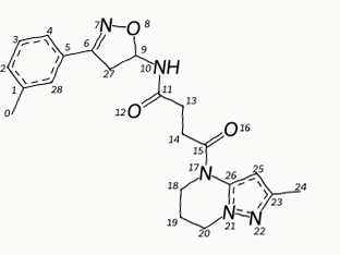 Cc1cccc(C2=NOC(NC(=O)CCC(=O)N3CCCn4nc(C)cc43)C2)c1